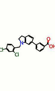 O=C(O)c1cccc(-c2ccc3c(c2)N(Cc2ccc(Cl)cc2Cl)CC3)c1